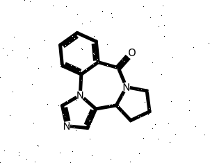 O=C1c2ccccc2-n2cncc2C2CCCN12